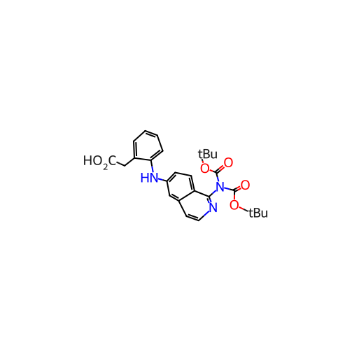 CC(C)(C)OC(=O)N(C(=O)OC(C)(C)C)c1nccc2cc(Nc3ccccc3CC(=O)O)ccc12